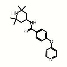 CC1(C)CC(NC(=O)c2ccc(Oc3ccncc3)cc2)CC(C)(C)N1